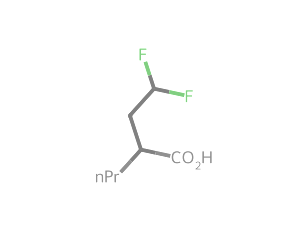 CCCC(CC(F)F)C(=O)O